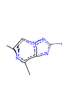 Cc1cn2nc(I)nc2c(C)n1